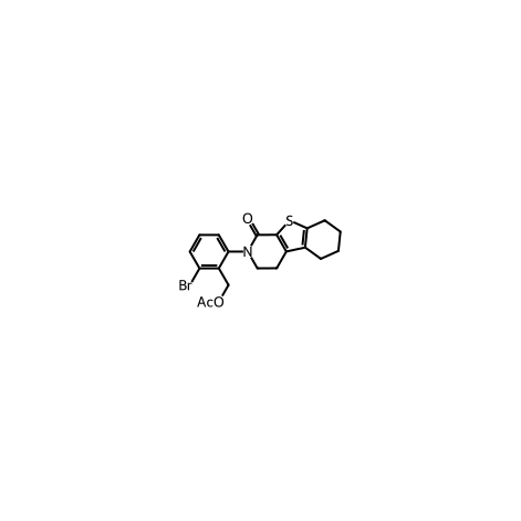 CC(=O)OCc1c(Br)cccc1N1CCc2c(sc3c2CCCC3)C1=O